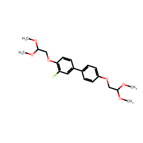 COC(COc1ccc(-c2ccc(OCC(OC)OC)c(F)c2)cc1)OC